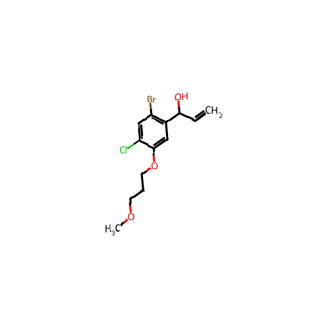 C=CC(O)c1cc(OCCCOC)c(Cl)cc1Br